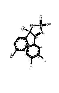 C[C@@]1(c2ccc(Cl)cc2)NS(=O)(=O)N=C1c1ccc(Cl)c(F)c1